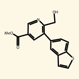 COC(=O)c1cnc(CO)c(-c2ccc3sccc3c2)c1